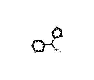 NC(c1cccnc1)n1cccc1